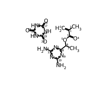 C=C(C)C(=O)OC(C)c1nc(N)nc(N)n1.O=c1[nH]c(=O)[nH]c(=O)[nH]1